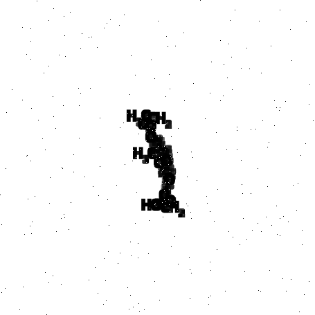 C=C(C)C(=O)OCCOc1ccc2c(c1)C(C)c1cc(OC(=O)c3ccc(OCCCCOC(=O)C(=C)CO)cc3)ccc1-2